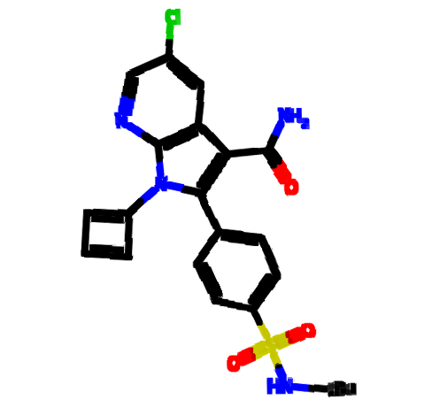 CC(C)(C)NS(=O)(=O)c1ccc(-c2c(C(N)=O)c3cc(Cl)cnc3n2C2=CC=C2)cc1